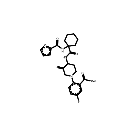 CNC(=O)c1cc(F)ccc1N1CCC(NC(=O)C2(NC(=O)c3ccco3)CCCCC2)C(=O)C1